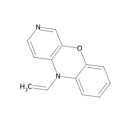 C=CN1c2ccccc2Oc2cnccc21